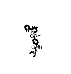 CCN(CC)CC(=O)Nc1ccc(C(=O)Nc2cc(C)nc(-c3ccccn3)n2)cc1